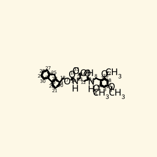 COc1cc(OC)c(CNC(=O)C[C@H](NC(=O)OCc2cccc3c2Cc2ccccc2-3)C(=O)O)c(OC)c1